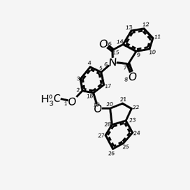 COc1ccc(N2C(=O)c3ccccc3C2=O)cc1OC1CCc2ccccc21